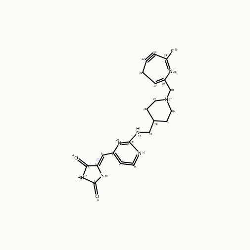 O=C1NC(=O)/C(=C/C2=C=C=NC(NCC3CCN(CC4=CCC#CC(F)=N4)CC3)=N2)S1